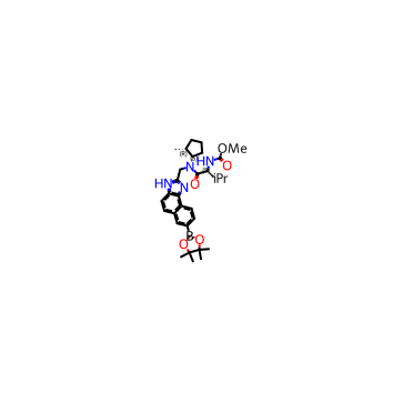 COC(=O)N[C@H](C(=O)N(Cc1nc2c(ccc3cc(B4OC(C)(C)C(C)(C)O4)ccc32)[nH]1)[C@H]1CCC[C@H]1C)C(C)C